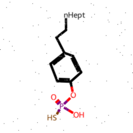 CCCCCCCCCc1ccc(OP(=O)(O)S)cc1